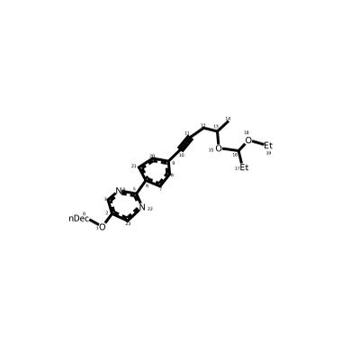 CCCCCCCCCCOc1cnc(-c2ccc(C#CCC(C)OC(CC)OCC)cc2)nc1